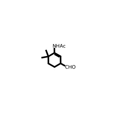 CC(=O)NC1=CC(C=O)CCC1(C)C